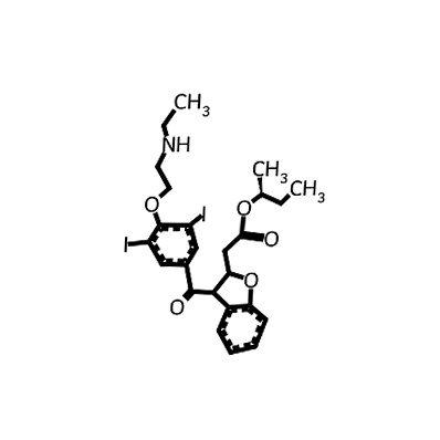 CCNCCOc1c(I)cc(C(=O)C2c3ccccc3OC2CC(=O)O[C@@H](C)CC)cc1I